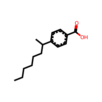 CCCCCCC(C)c1ccc(C(=O)O)cc1